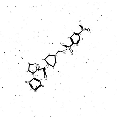 O=C([C@H]1CC[C@H](COS(=O)(=O)c2ccc([N+](=O)[O-])cc2)CC1)N1OCC[C@H]1c1ccccn1